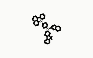 CC1(C)c2ccccc2-c2ccc(N(c3ccc(N4c5ccccc5-c5cccc6cccc4c56)cc3)c3ccc4ccccc4c3)cc21